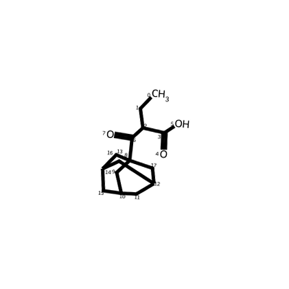 CCC(C(=O)O)C(=O)C12CC3CC(CC(C3)C1)C2